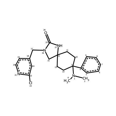 CN(C)C1(c2ccccc2)CCC2(CC1)CN(Cc1ccnc(Cl)c1)C(=O)N2